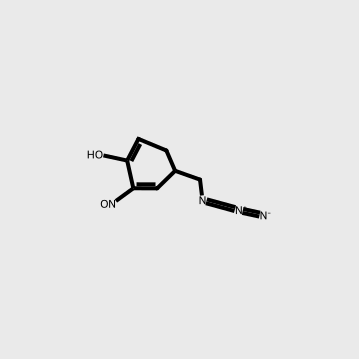 [N-]=[N+]=NCC1C=C(N=O)C(O)=CC1